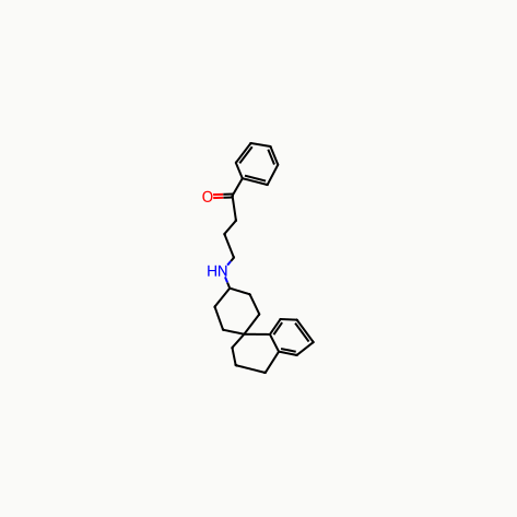 O=C(CCCNC1CCC2(CCCc3ccccc32)CC1)c1ccccc1